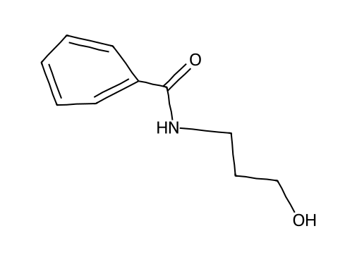 O=C(NCCCO)c1ccccc1